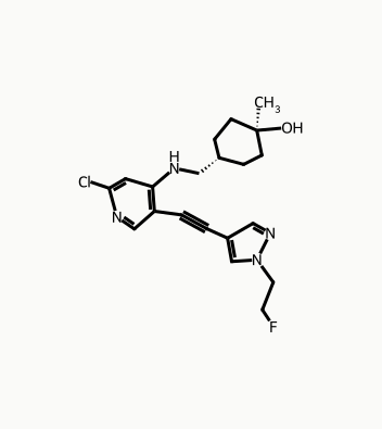 C[C@]1(O)CC[C@H](CNc2cc(Cl)ncc2C#Cc2cnn(CCF)c2)CC1